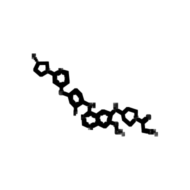 C=CC(=O)N1CCC(Nc2cc3c(Nc4ccc(Oc5ccnc(N6CC[C@H](F)C6)c5)cc4F)ncnc3cc2OC)CC1